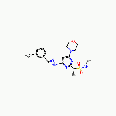 CCC(c1nc(NN=Cc2cccc(C)c2)cc(N2CCOCC2)n1)S(=O)(=O)NC(C)C